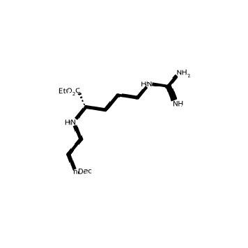 CCCCCCCCCCCCN[C@@H](CCCNC(=N)N)C(=O)OCC